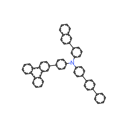 c1ccc(-c2ccc(-c3ccc(N(c4ccc(-c5ccc6c7ccccc7c7ccccc7c6c5)cc4)c4cccc(-c5ccc6ccccc6c5)c4)cc3)cc2)cc1